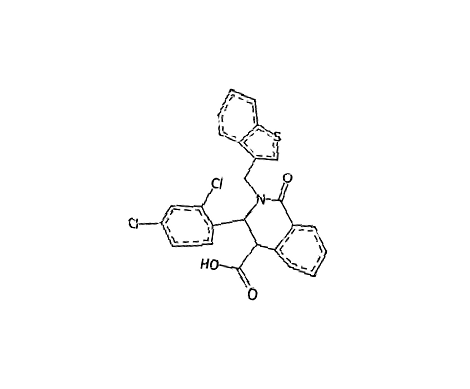 O=C(O)C1c2ccccc2C(=O)N(Cc2csc3ccccc23)C1c1ccc(Cl)cc1Cl